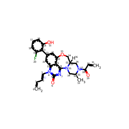 C=C/C=C/n1c(=O)nc2c3c(cc(-c4c(O)cccc4F)cc31)OC[C@@H]1CN(C(=O)C=C)[C@@H](C)CN21